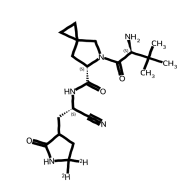 [2H]C1([2H])CC(C[C@@H](C#N)NC(=O)[C@@H]2CC3(CC3)CN2C(=O)[C@@H](N)C(C)(C)C)C(=O)N1